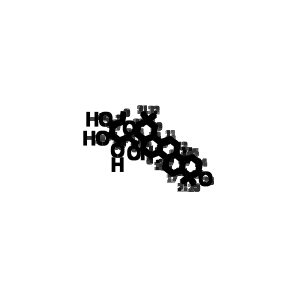 CC1O[C@@H](C(O)[C@@]23CCC4C(=CCC5[C@@]4(C)CCC4C(C)(C)C(=O)CC[C@@]45C)C2CC(C)(C)CC3)[C@@H](O)C(O)[C@H]1O